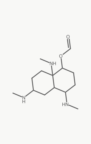 CNC1CCC2(NC)C(OC=O)CCC(NC)C2C1